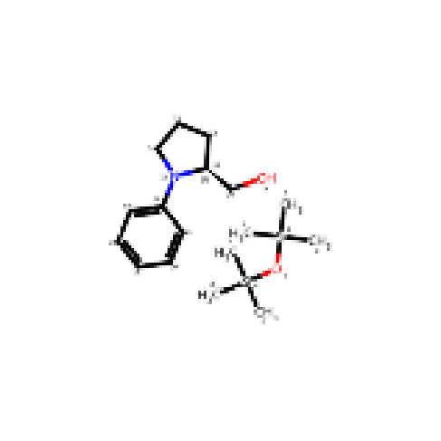 C[Si](C)(C)O[Si](C)(C)C.OC[C@@H]1CCCN1c1ccccc1